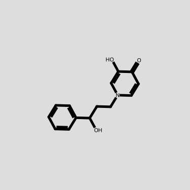 O=c1ccn(CCC(O)c2ccccc2)cc1O